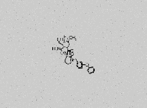 C=CC[C@H](C(N)=O)[C@@H](CC(C)C)C(=O)N[C@H]1CCCCN(Cc2cccc(Oc3ccccc3)c2)C1=O